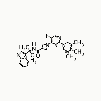 C[C@@H]1CN(c2ncc(F)c(N3CC(C(=O)NC(C)(C)c4cnc5ccccn45)C3)n2)C[C@@H](C)N1C